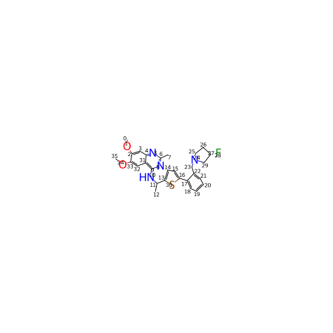 COc1cc2nc(C)nc(NC(C)c3ccc(-c4ccccc4CN4CC[C@H](F)C4)s3)c2cc1OC